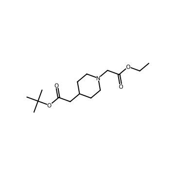 CCOC(=O)CN1CCC(CC(=O)OC(C)(C)C)CC1